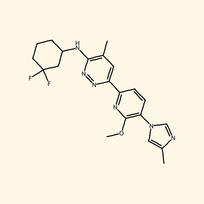 COc1nc(-c2cc(C)c(NC3CCCC(F)(F)C3)nn2)ccc1-n1cnc(C)c1